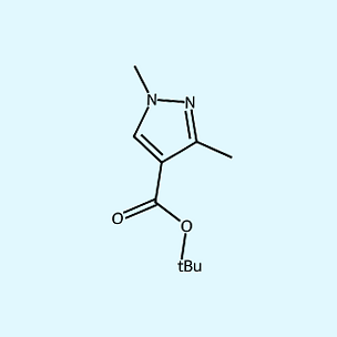 Cc1nn(C)cc1C(=O)OC(C)(C)C